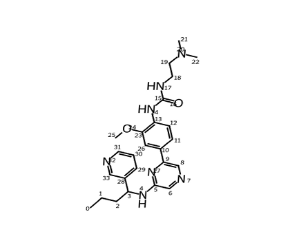 CCCC(Nc1cncc(-c2ccc(NC(=O)NCCN(C)C)c(OC)c2)n1)c1cccnc1